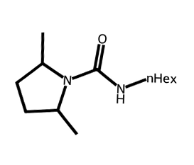 CCCCCCNC(=O)N1C(C)CCC1C